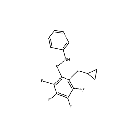 Fc1c(F)c(F)c(SNc2ccccc2)c(CC2CC2)c1F